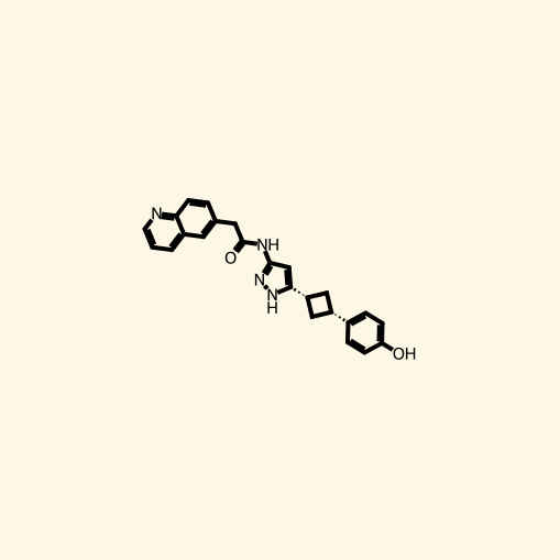 O=C(Cc1ccc2ncccc2c1)Nc1cc([C@H]2C[C@@H](c3ccc(O)cc3)C2)[nH]n1